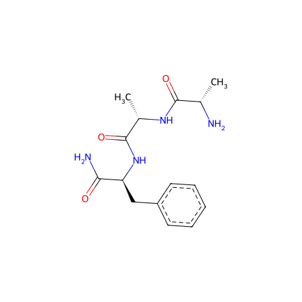 C[C@H](N)C(=O)N[C@@H](C)C(=O)N[C@@H](Cc1ccccc1)C(N)=O